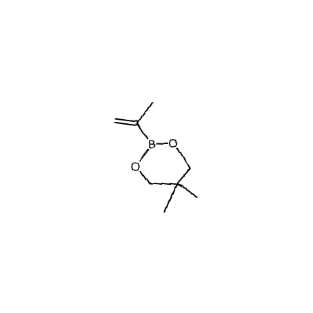 C=C(C)B1OCC(C)(C)CO1